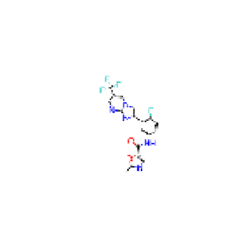 Cc1ncc(C(=O)Nc2ccc(F)c(-c3cn4cc(C(F)(F)F)cnc4n3)c2)o1